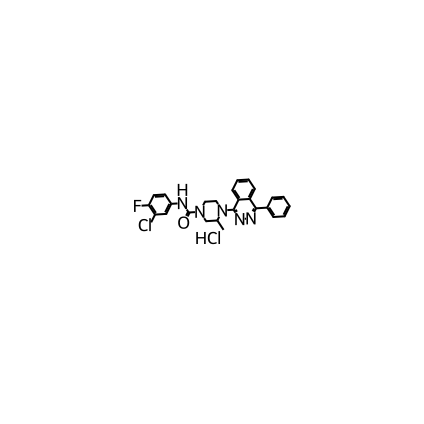 CC1CN(C(=O)Nc2ccc(F)c(Cl)c2)CCN1c1nnc(-c2ccccc2)c2ccccc12.Cl